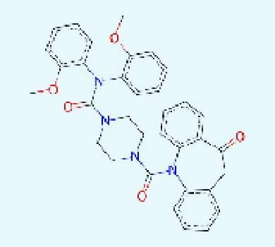 COc1ccccc1N(C(=O)N1CCN(C(=O)N2c3ccccc3CC(=O)c3ccccc32)CC1)c1ccccc1OC